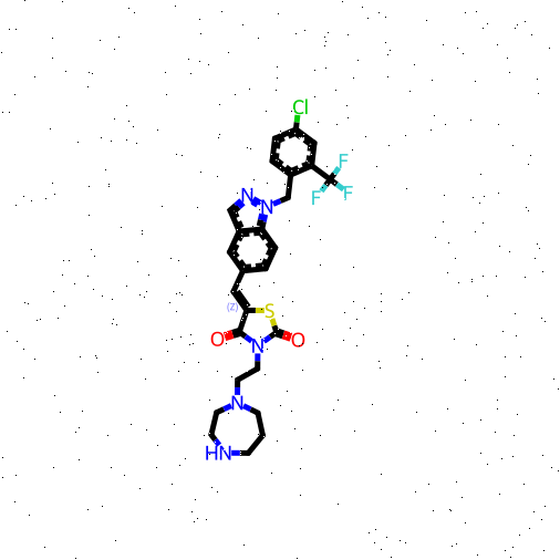 O=C1S/C(=C\c2ccc3c(cnn3Cc3ccc(Cl)cc3C(F)(F)F)c2)C(=O)N1CCN1CCCNCC1